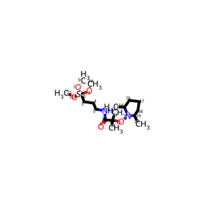 CO[Si](CCCNC(=O)C(C)(C)ON1C(C)CCCC1C)(OC)OC